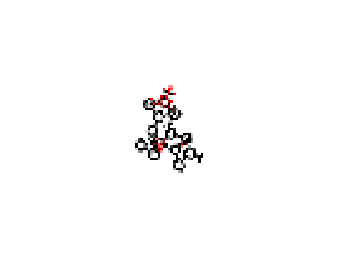 CC(C)(C)c1cc(-c2ccccc2-c2cc(-c3ccc4c(c3)c3cc(-c5cc(-c6ccccc6-c6cc(C(C)(C)C)cc(C(C)(C)C)c6)cc(-c6ccccc6-c6cc(C(C)(C)C)cc(C(C)(C)C)c6)c5)ccc3n4-c3ccccc3-c3ccccc3C(C)(C)C)cc(-c3ccccc3-c3cc(C(C)(C)C)cc(C(C)(C)C)c3)c2)cc(C(C)(C)C)c1